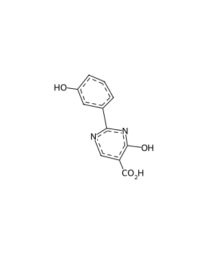 O=C(O)c1cnc(-c2cccc(O)c2)nc1O